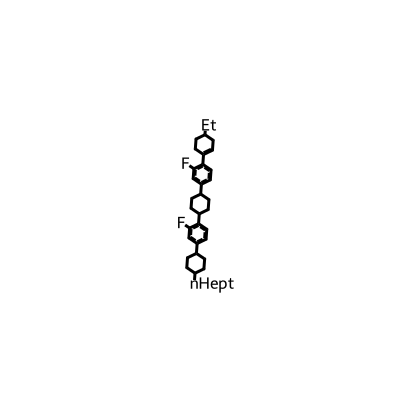 CCCCCCCC1CCC(c2ccc(C3CCC(c4ccc(C5=CCC(CC)CC5)c(F)c4)CC3)c(F)c2)CC1